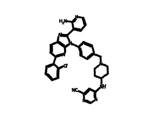 N#Cc1cc(NC2CCN(Cc3ccc(-n4c(-c5cccnc5N)nc5ccc(-c6ccccc6Cl)nc54)cc3)CC2)ncn1